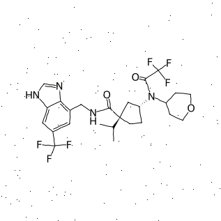 CC(C)[C@]1(C(=O)NCc2cc(C(F)(F)F)cc3[nH]cnc23)CC[C@@H](N(C(=O)C(F)(F)F)C2CCOCC2)C1